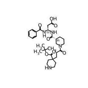 CC(C)(C)OC(=O)C1(CCC(=O)N2CCC[C@@H](C(=O)N[C@H](CC(=O)O)NC(=O)c3ccccc3)C2)CCNCC1